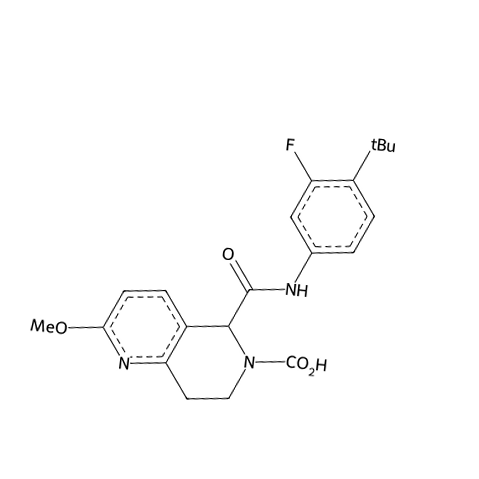 COc1ccc2c(n1)CCN(C(=O)O)C2C(=O)Nc1ccc(C(C)(C)C)c(F)c1